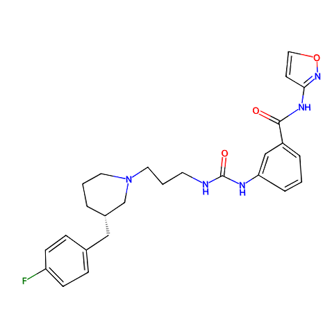 O=C(NCCCN1CCC[C@@H](Cc2ccc(F)cc2)C1)Nc1cccc(C(=O)Nc2ccon2)c1